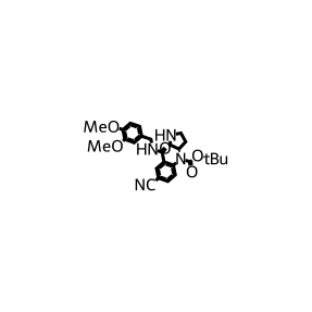 COc1ccc(CNC(=O)c2cc(C#N)ccc2N(C(=O)OC(C)(C)C)[C@H]2CCNC2)cc1OC